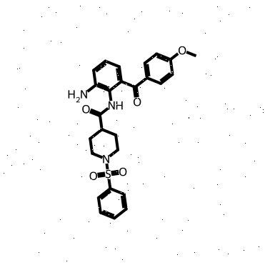 COc1ccc(C(=O)c2cccc(N)c2NC(=O)C2CCN(S(=O)(=O)c3ccccc3)CC2)cc1